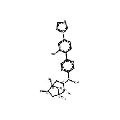 [2H][C@]12C[C@@H](N(C)c3cnc(-c4ccc(-n5ccnc5)cc4O)cn3)[C@H](F)[C@]([2H])(C[C@H]1F)N2